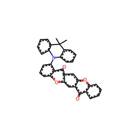 CC1(C)c2ccccc2N(c2cccc3oc4cc5c(=O)c6ccccc6oc5cc4c(=O)c23)c2ccccc21